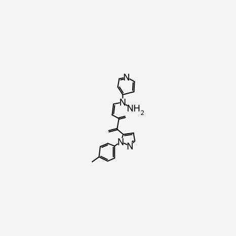 C=C(/C=C\N(N)c1ccncc1)C(=C)c1ccnn1-c1ccc(C)cc1